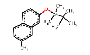 Cc1ccc2ccc(O[Si](C)(C)C(C)(C)C)cc2c1